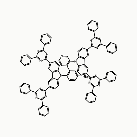 N#Cc1ccc(-n2c3ccc(-c4nc(-c5ccccc5)nc(-c5ccccc5)n4)cc3c3cc(-c4nc(-c5ccccc5)nc(-c5ccccc5)n4)ccc32)c(-c2ccncc2-n2c3ccc(-c4nc(-c5ccccc5)nc(-c5ccccc5)n4)cc3c3cc(-c4nc(-c5ccccc5)nc(-c5ccccc5)n4)ccc32)c1